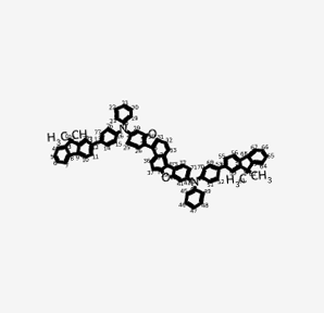 CC1(C)c2ccccc2-c2ccc(-c3ccc(N(c4ccccc4)c4ccc5c(c4)oc4ccc6c(ccc7oc8cc(N(c9ccccc9)c9ccc(-c%10ccc%11c(c%10)C(C)(C)c%10ccccc%10-%11)cc9)ccc8c76)c45)cc3)cc21